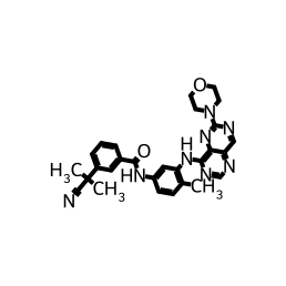 Cc1ccc(NC(=O)c2cccc(C(C)(C)C#N)c2)cc1Nc1ncnc2cnc(N3CCOCC3)nc12